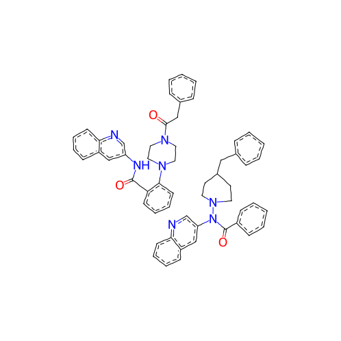 O=C(Nc1cnc2ccccc2c1)c1ccccc1N1CCN(C(=O)Cc2ccccc2)CC1.O=C(c1ccccc1)N(c1cnc2ccccc2c1)N1CCC(Cc2ccccc2)CC1